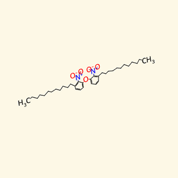 CCCCCCCCCCCCc1cccc(Oc2cccc(CCCCCCCCCCCC)c2[N+](=O)[O-])c1[N+](=O)[O-]